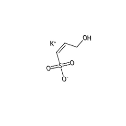 O=S(=O)([O-])/C=C\CO.[K+]